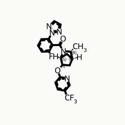 C[C@@H]1[C@H]2C[C@@H](Oc3ccc(C(F)(F)F)cn3)[C@H](C2)N1C(=O)c1c(F)cccc1-n1nccn1